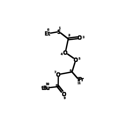 CCSC(=O)OOC(OC(=O)C(C)(C)C)C(C)C